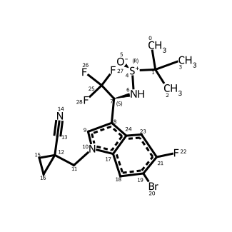 CC(C)(C)[S@+]([O-])N[C@@H](c1cn(CC2(C#N)CC2)c2cc(Br)c(F)cc12)C(F)(F)F